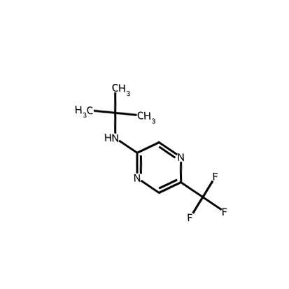 CC(C)(C)Nc1cnc(C(F)(F)F)cn1